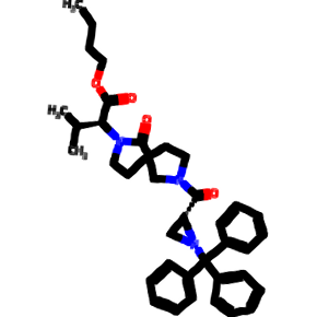 CCCCOC(=O)[C@H](C(C)C)N1CCC2(CCN(C(=O)[C@H]3CN3C(c3ccccc3)(c3ccccc3)c3ccccc3)C2)C1=O